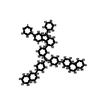 c1ccc(-c2ccc3c4c(-c5cccc(N(c6ccc(-c7ccc8ccccc8c7)cc6)c6ccc(-c7ccc8c(ccc9ccccc98)c7)cc6)c5)cccc4n(-c4ccccc4)c3c2)cc1